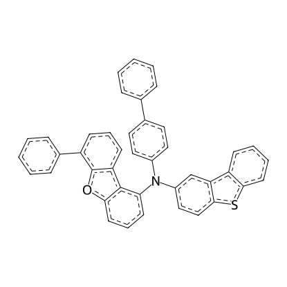 c1ccc(-c2ccc(N(c3ccc4sc5ccccc5c4c3)c3cccc4oc5c(-c6ccccc6)cccc5c34)cc2)cc1